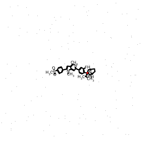 Cc1nc(-c2ccc(C3(O)C[C@H]4CC[C@@H](C3)N4CC(C)C)c(F)c2)cc2c1cc(-c1ccc(S(C)(=O)=O)cc1)n2C